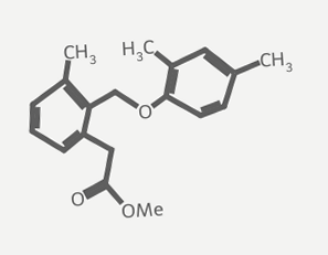 COC(=O)Cc1cccc(C)c1COc1ccc(C)cc1C